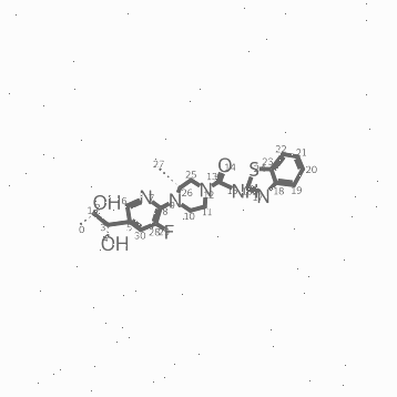 C[C@H](O)[C@@H](O)c1cnc(N2CCN(C(=O)Nc3nc4ccccc4s3)C[C@H]2C)c(F)c1